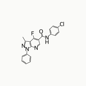 Cc1nn(-c2ccccc2)c2ncc(C(=O)Nc3ccc(Cl)cc3)c(F)c12